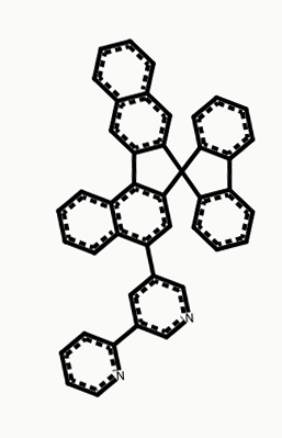 c1ccc(-c2cncc(-c3cc4c(c5ccccc35)-c3cc5ccccc5cc3C43c4ccccc4-c4ccccc43)c2)nc1